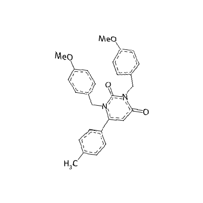 COc1ccc(Cn2c(-c3ccc(C)cc3)cc(=O)n(Cc3ccc(OC)cc3)c2=O)cc1